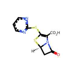 O=C(O)C1=C(Sc2ncccn2)S[C@@H]2CC(=O)N12